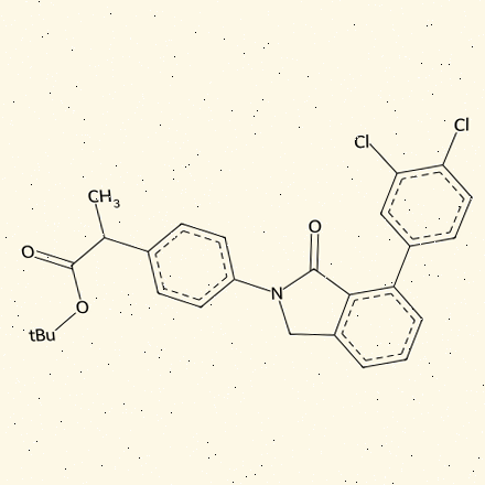 CC(C(=O)OC(C)(C)C)c1ccc(N2Cc3cccc(-c4ccc(Cl)c(Cl)c4)c3C2=O)cc1